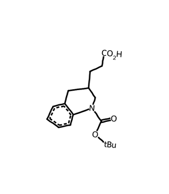 CC(C)(C)OC(=O)N1CC(CCC(=O)O)Cc2ccccc21